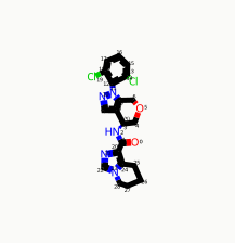 O=C(N[C@@H]1COCc2c1cnn2-c1c(Cl)cccc1Cl)c1ncn2c1CCCC2